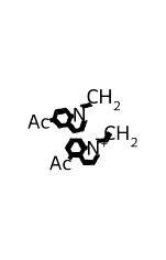 C=CCN1C=CC=C2C=C(C(C)=O)C=CC21.C=CC[n+]1cccc2c(C(C)=O)cccc21